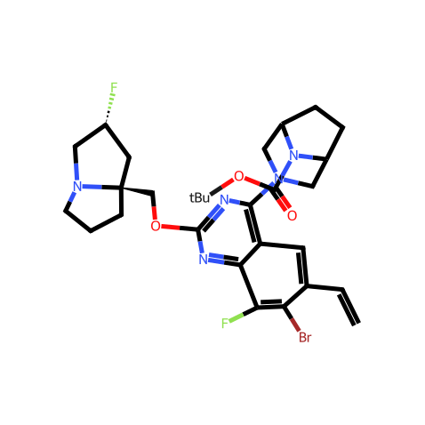 C=Cc1cc2c(N3CC4CCC(C3)N4C(=O)OC(C)(C)C)nc(OC[C@@]34CCCN3C[C@H](F)C4)nc2c(F)c1Br